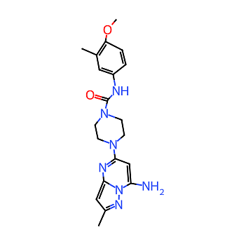 COc1ccc(NC(=O)N2CCN(c3cc(N)n4nc(C)cc4n3)CC2)cc1C